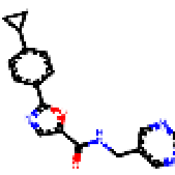 O=C(NCc1cncnc1)c1cnc(-c2ccc(C3CC3)cc2)o1